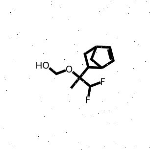 CC(OCO)(C(F)F)C1CC2C=CC1C2